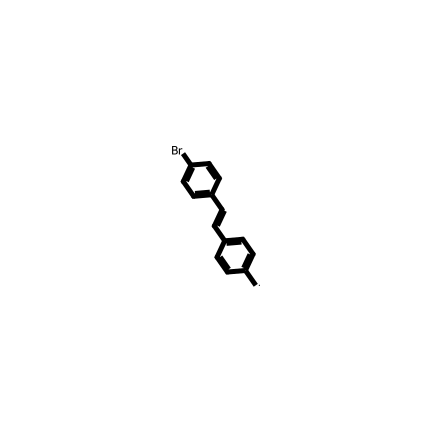 [CH2]c1ccc(C=Cc2ccc(Br)cc2)cc1